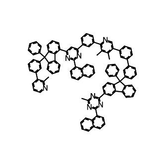 Cc1nc(-c2ccc3c(c2)-c2ccccc2C3(c2ccccc2)c2cccc(-c3cccc(-c4cnc(-c5cccc(-c6cc(-c7cccc8c7-c7ccccc7C8(c7ccccc7)c7cccc(-c8cccnc8C)c7)nc(-c7cccc8ccccc78)n6)c5)c(C)c4C)c3)c2)nc(-c2cccc3ccccc23)n1